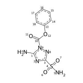 Nc1nc(S(N)(=O)=O)nn1C(=O)Oc1ccccc1